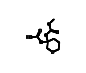 COC(=O)OC1(OC(=O)O)CCCOC1